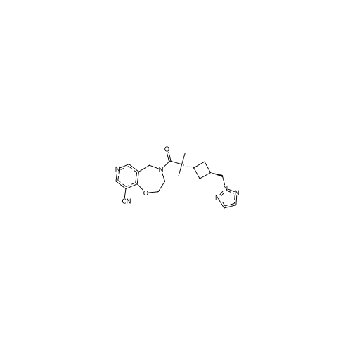 CC(C)(C(=O)N1CCOc2c(C#N)cncc2C1)[C@H]1C[C@H](Cn2nccn2)C1